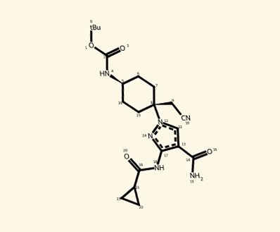 CC(C)(C)OC(=O)N[C@H]1CC[C@](CC#N)(n2cc(C(N)=O)c(NC(=O)C3CC3)n2)CC1